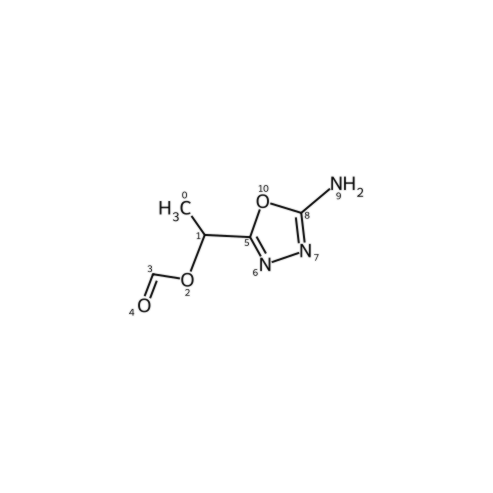 CC(OC=O)c1nnc(N)o1